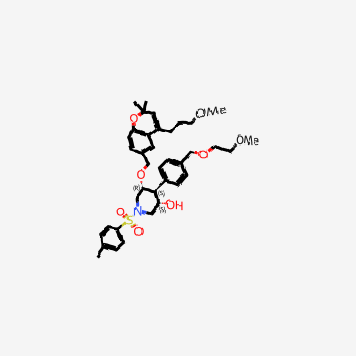 COCCCC1=CC(C)(C)Oc2ccc(CO[C@H]3CN(S(=O)(=O)c4ccc(C)cc4)C[C@@H](O)[C@@H]3c3ccc(COCCOC)cc3)cc21